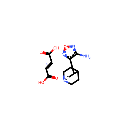 Nc1nonc1C1CN2CCC1CC2.O=C(O)/C=C/C(=O)O